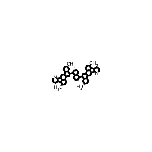 Cc1ccc2c(c1)c(-c1cccc3c(-c4cc5c6ccc(C)c7c6c(cc5c5ccc(C)cc45)-c4ncccc4-7)cccc13)cc1c3ccc(C)c4c3c(cc21)-c1ncccc1-4